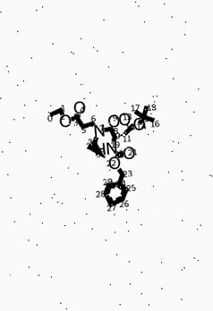 CCOC(=O)CCN(C(=O)[C@H](CC(=O)OC(C)(C)C)NC(=O)OCc1ccccc1)C1CC1